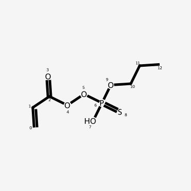 C=CC(=O)OOP(O)(=S)OCCC